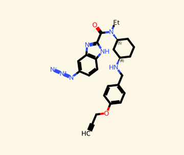 C#CCOc1ccc(CN[C@@H]2CCC[C@H](N(CC)C(=O)c3nc4cc(N=[N+]=[N-])ccc4[nH]3)C2)cc1